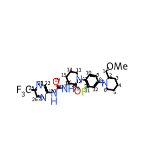 COCC1CCCCN1c1ccc(N2CCC[C@@H](NC(=O)Nc3cnc(C(F)(F)F)cn3)C2=O)c(F)c1